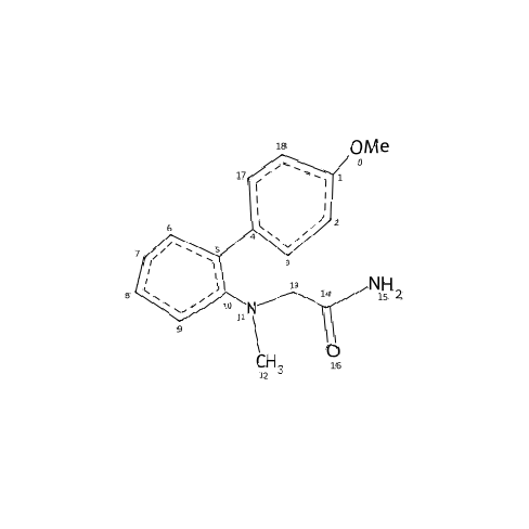 COc1ccc(-c2ccccc2N(C)CC(N)=O)cc1